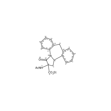 CCOC(=O)C1(NC(C)=O)CC2c3ccccc3Cc3ccccc3N2C1=O